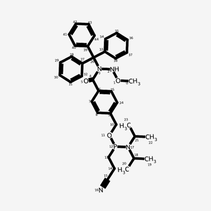 CONN(C(=O)c1ccc(COP(CCC#N)N(C(C)C)C(C)C)cc1)C(c1ccccc1)(c1ccccc1)c1ccccc1